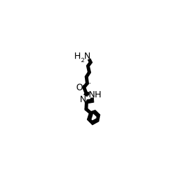 NCCCC[CH]C(=O)c1nc(Cc2ccccc2)c[nH]1